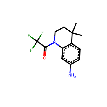 CC1(C)CCN(C(=O)C(F)(F)F)c2cc(N)ccc21